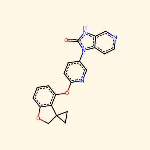 O=c1[nH]c2cnccc2n1-c1ccc(Oc2cccc3c2C2(CC2)CO3)nc1